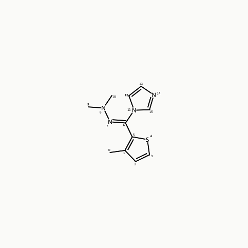 Cc1ccsc1C(=NN(C)C)n1ccnc1